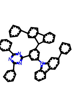 c1ccc(-c2ccc3c(c2)C(c2cc(-c4nc(-c5ccccc5)nc(-c5ccccc5)n4)cc(-n4c5ccccc5c5ccc(-c6ccccc6)cc54)c2)c2ccccc2-3)cc1